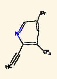 C#Cc1ncc(C(C)C)cc1C(F)(F)F